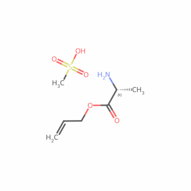 C=CCOC(=O)[C@@H](C)N.CS(=O)(=O)O